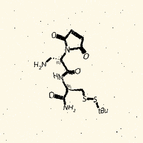 CC(C)(C)SSC[C@H](NC(=O)[C@H](CN)N1C(=O)C=CC1=O)C(N)=O